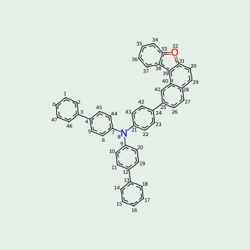 c1ccc(-c2ccc(N(c3ccc(-c4ccccc4)cc3)c3ccc(-c4ccc5ccc6oc7ccccc7c6c5c4)cc3)cc2)cc1